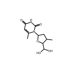 Cc1cc(=O)[nH]c(=O)n1C1CC(C)C(C(O)O)O1